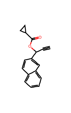 C#CC(OC(=O)C1CC1)c1ccc2ccccc2c1